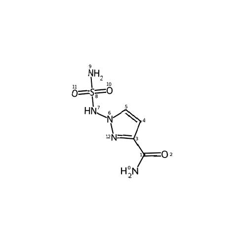 NC(=O)c1ccn(NS(N)(=O)=O)n1